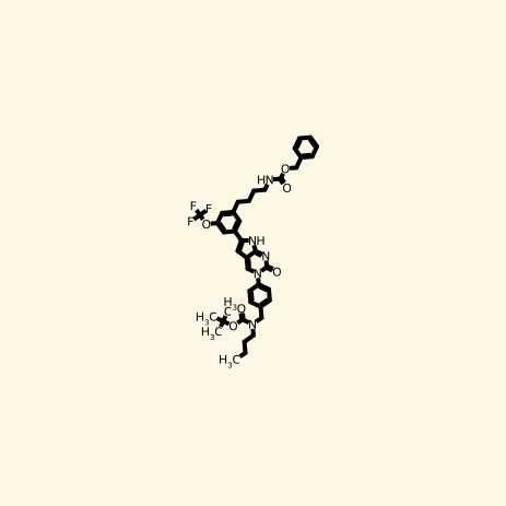 CCCCN(Cc1ccc(-n2cc3cc(-c4cc(CCCCNC(=O)OCc5ccccc5)cc(OC(F)(F)F)c4)[nH]c3nc2=O)cc1)C(=O)OC(C)(C)C